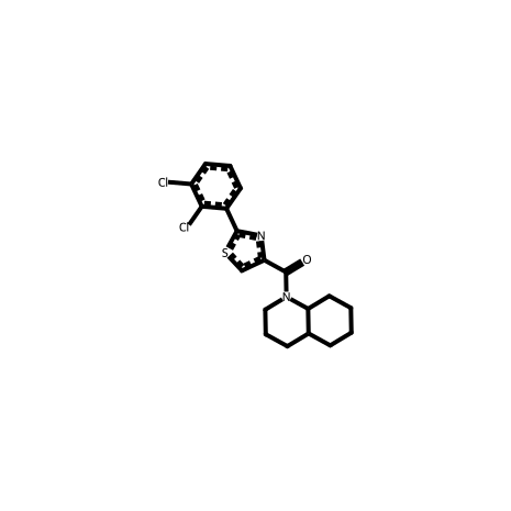 O=C(c1csc(-c2cccc(Cl)c2Cl)n1)N1CCCC2CCCCC21